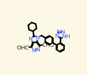 O=Cc1nnc(C=O)c2c1nc(C1CCCCC1)n2Cc1ccc(-c2ccccc2-c2nnn[nH]2)cc1